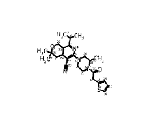 CC(C)c1nc(N2CCN(C(=O)Cc3cccs3)C(C)C2)c(C#N)c2c1COC(C)(C)C2